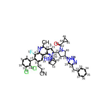 Cc1nc2c(F)c(-c3cccc(Cl)c3Cl)c(CCC#N)cc2c2c1cc(C1CC(n3cc(Cc4ccccc4)nn3)CN1C(=O)C1CC1)n2C1C2CNC1C2